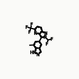 Cc1cc(-c2c3nc(C(F)(F)F)ccc3nn2C(F)F)cc2cn[nH]c12